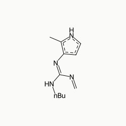 C=N/C(=N\c1cc[nH]c1C)NCCCC